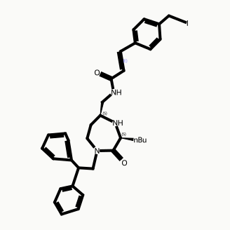 CCCC[C@@H]1N[C@H](CNC(=O)/C=C/c2ccc(CI)cc2)CCN(CC(c2ccccc2)c2ccccc2)C1=O